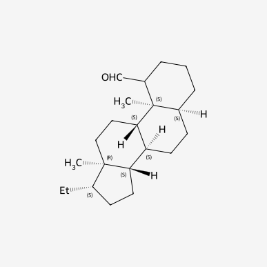 CC[C@H]1CC[C@H]2[C@@H]3CC[C@@H]4CCCC(C=O)[C@]4(C)[C@H]3CC[C@]12C